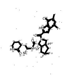 Cc1cc(F)c2cc(C(=O)N3C[C@H]4CC(F)(F)C[C@H]4[C@@H]3C(=O)N[C@H](C#N)C[C@H]3CCCNC3=O)[nH]c2c1Cl